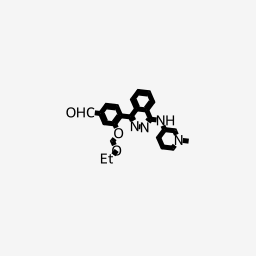 CCOCOc1cc(C=O)ccc1-c1nnc(NC2CCCN(C)C2)c2ccccc12